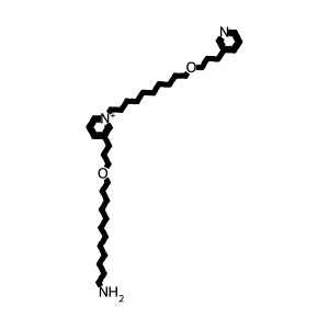 NCCCCCCCCCCCCOCCCc1ccc[n+](CCCCCCCCCCOCCCc2cccnc2)c1